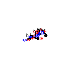 CC(C)CC(NC(=O)C(Cc1ccc(O)cc1)NC(=O)C(CCC(=O)O)NC(=O)C1CCCN1C(=O)C(CC(C)C)NC(=O)C(C)NC(=O)C(N)Cc1ccccc1)C(=O)NC(CCCCN)C(=O)O